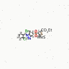 CCOC(=O)c1cc(S(=O)(=O)c2cc(Br)c3c(c2)ncn3Cc2ccccc2Cl)c(SC)s1